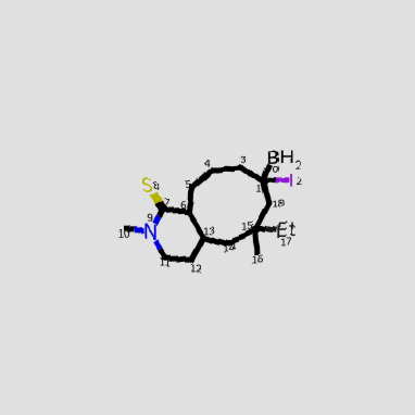 BC1(I)CCCC2C(=S)N(C)CCC2CC(C)(CC)C1